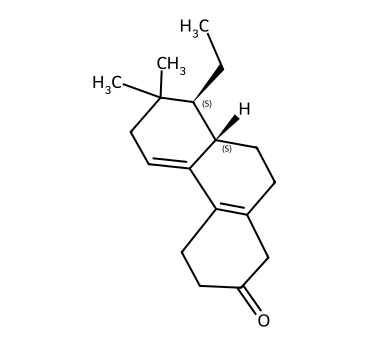 CC[C@H]1[C@@H]2CCC3=C(CCC(=O)C3)C2=CCC1(C)C